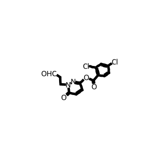 O=CCCn1nc(OC(=O)c2ccc(Cl)cc2Cl)ccc1=O